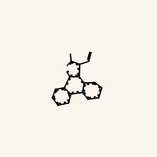 C=Cc1c(CC)sc2c3ccccc3c3ccccc3c12